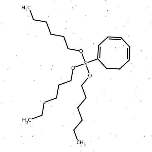 CCCCCCO[Si](OCCCCCC)(OCCCCCC)/C1=C/C=C\C=C/CC1